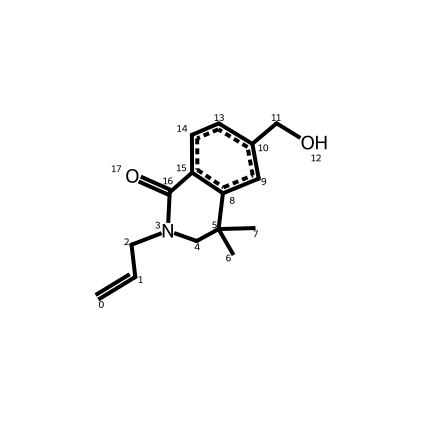 C=CCN1CC(C)(C)c2cc(CO)ccc2C1=O